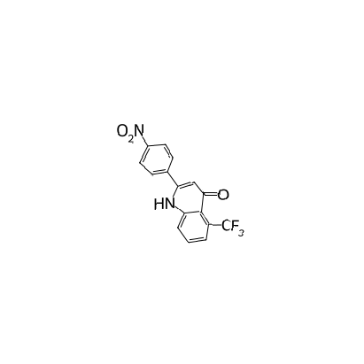 O=c1cc(-c2ccc([N+](=O)[O-])cc2)[nH]c2cccc(C(F)(F)F)c12